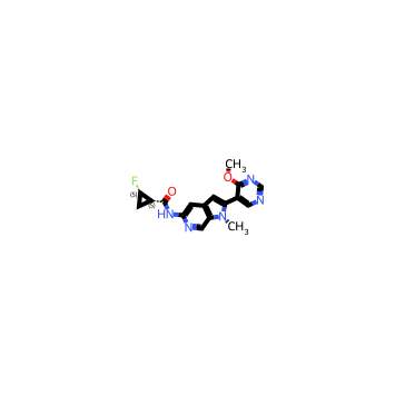 COc1ncncc1-c1cc2cc(NC(=O)[C@@H]3C[C@@H]3F)ncc2n1C